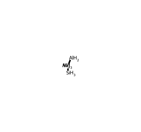 [AlH2][Mg][SiH3].[AlH3]